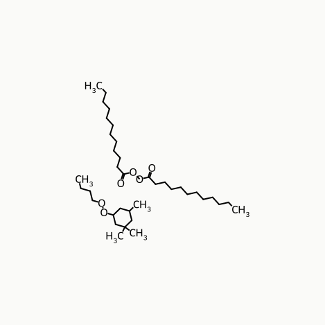 CCCCCCCCCCCC(=O)OOC(=O)CCCCCCCCCCC.CCCCOOC1CC(C)CC(C)(C)C1